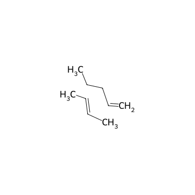 C=CCCC.CC=CC